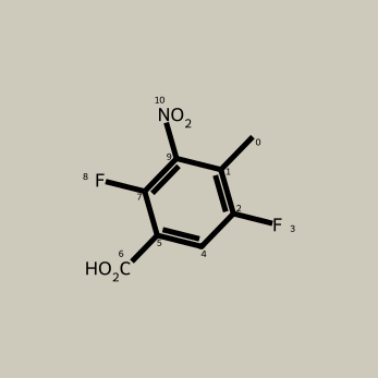 Cc1c(F)cc(C(=O)O)c(F)c1[N+](=O)[O-]